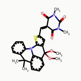 COC1(OC)c2cc(C=C3C(=O)N(C)C(=O)N(C)C3=O)sc2N2c3ccccc3C(C)(C)c3cccc1c32